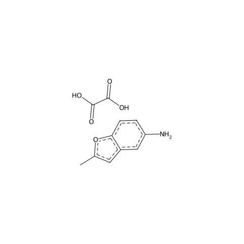 Cc1cc2cc(N)ccc2o1.O=C(O)C(=O)O